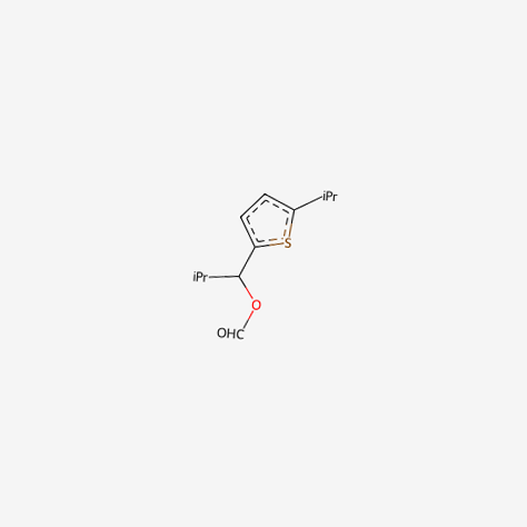 CC(C)c1ccc(C(OC=O)C(C)C)s1